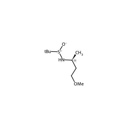 COCC[C@H](C)N[S+]([O-])C(C)(C)C